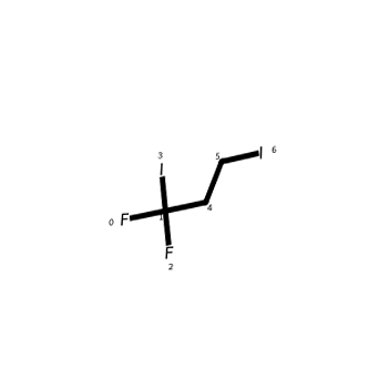 FC(F)(I)CCI